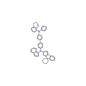 C1=Cc2c(cccc2N(c2ccccc2)c2ccc(-c3ccc(N(c4ccc5c(c4)C4(CCCCC4)c4ccccc4-5)c4cccc5ccccc45)cc3)cc2)CC1